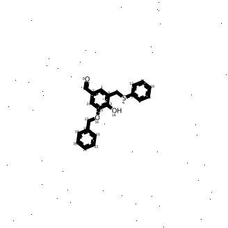 O=Cc1cc(CSc2ccccc2)c(O)c(OCc2ccccc2)c1